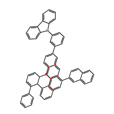 C1=CC(N(c2ccc(-c3cccc(-n4c5ccccc5c5ccccc54)c3)cc2)c2cccc(-c3ccc4ccccc4c3)c2)C(c2ccccc2-c2ccccc2)C(c2ccccc2)=C1